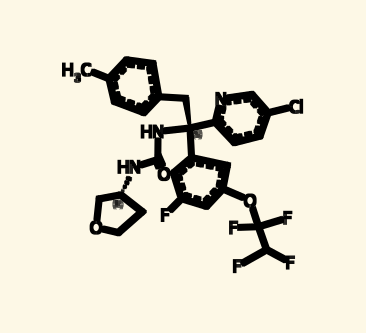 Cc1ccc(C[C@](NC(=O)N[C@@H]2CCOC2)(c2cc(F)cc(OC(F)(F)C(F)F)c2)c2ccc(Cl)cn2)cc1